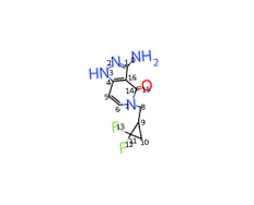 Nc1n[nH]c2ccn(CC3CC3(F)F)c(=O)c12